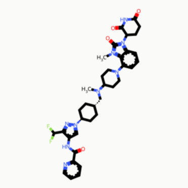 CN(C[C@H]1CC[C@H](n2cc(NC(=O)c3ccccn3)c(C(F)F)n2)CC1)C1CCN(c2cccc3c2n(C)c(=O)n3C2CCC(=O)NC2=O)CC1